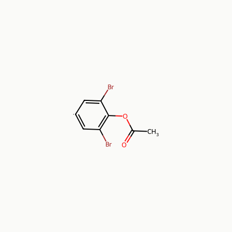 CC(=O)Oc1c(Br)c[c]cc1Br